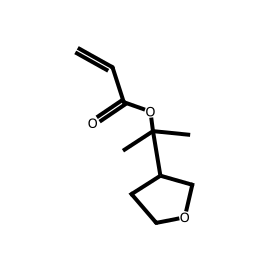 C=CC(=O)OC(C)(C)C1CCOC1